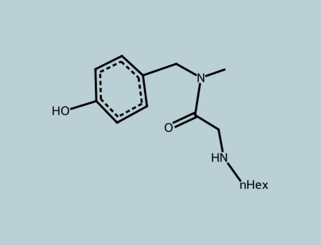 CCCCCCNCC(=O)N(C)Cc1ccc(O)cc1